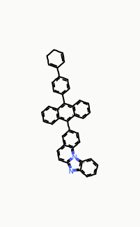 C1=CC(c2ccc(-c3c4ccccc4c(-c4ccc5c(ccc6nc7ccccc7n65)c4)c4ccccc34)cc2)=CCC1